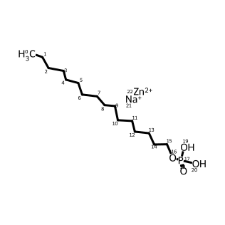 CCCCCCCCCCCCCCCCOP(=O)(O)O.[Na+].[Zn+2]